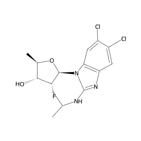 CC(C)Nc1nc2cc(Cl)c(Cl)cc2n1[C@@H]1O[C@H](C)[C@@H](O)[C@H]1F